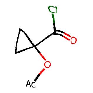 CC(=O)OC1(C(=O)Cl)CC1